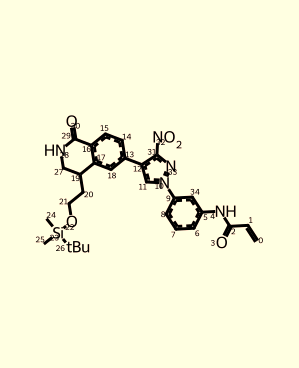 C=CC(=O)Nc1cccc(-n2cc(-c3ccc4c(c3)C(CCO[Si](C)(C)C(C)(C)C)CNC4=O)c([N+](=O)[O-])n2)c1